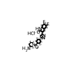 Cl.N[C@@H]1CCCN(C(=O)c2ccc(-n3cc(-c4cc5cc(F)c(F)cc5[nH]c4=O)nn3)cc2)C1